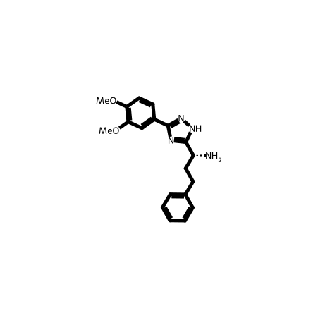 COc1ccc(-c2n[nH]c([C@H](N)CCc3ccccc3)n2)cc1OC